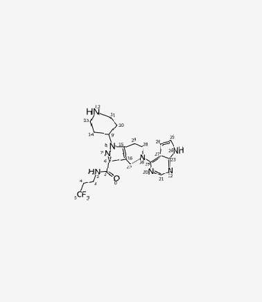 O=C(NCCC(F)(F)F)c1nn(C2CCNCC2)c2c1CN(c1ncnc3[nH]ccc13)CC2